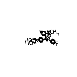 COC(=O)C1CC2CC2CC1c1nn(-c2ccc(F)cc2)cc1-c1ccc(N2CCS(O)(O)CC2)cc1